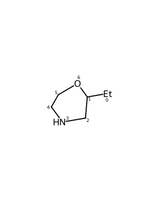 CCC1CNCCO1